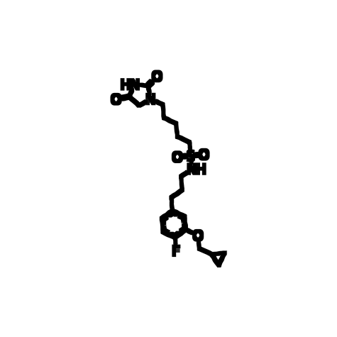 O=C1CN(CCCCCS(=O)(=O)NCCCc2ccc(F)c(OCC3CC3)c2)C(=O)N1